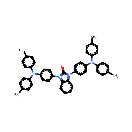 Cc1ccc(N(c2ccc(C)cc2)c2ccc(-n3c(=O)n(-c4ccc(N(c5ccc(C)cc5)c5ccc(C)cc5)cc4)c4ccccc43)cc2)cc1